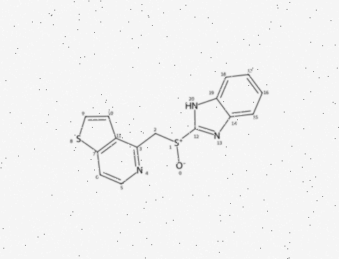 [O-][S+](Cc1nccc2sccc12)c1nc2ccccc2[nH]1